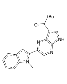 Cn1c(-c2cnc3[nH]cc(C(=O)C(C)(C)C)c3n2)cc2ccccc21